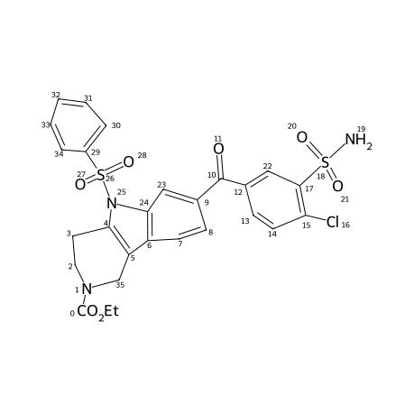 CCOC(=O)N1CCc2c(c3ccc(C(=O)c4ccc(Cl)c(S(N)(=O)=O)c4)cc3n2S(=O)(=O)c2ccccc2)C1